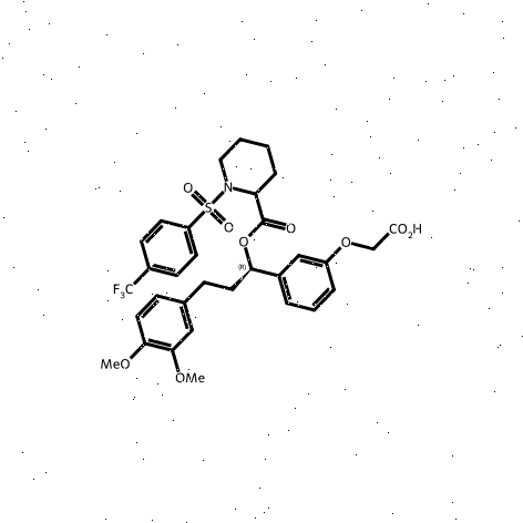 COc1ccc(CC[C@@H](OC(=O)C2CCCCN2S(=O)(=O)c2ccc(C(F)(F)F)cc2)c2cccc(OCC(=O)O)c2)cc1OC